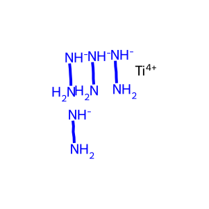 [NH-]N.[NH-]N.[NH-]N.[NH-]N.[Ti+4]